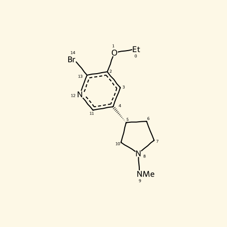 CCOc1cc([C@@H]2CCN(NC)C2)cnc1Br